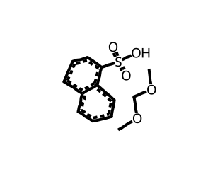 COCOC.O=S(=O)(O)c1cccc2ccccc12